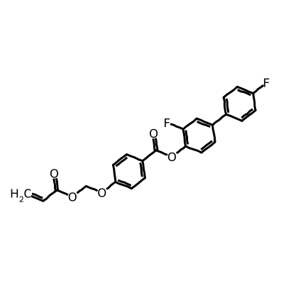 C=CC(=O)OCOc1ccc(C(=O)Oc2ccc(-c3ccc(F)cc3)cc2F)cc1